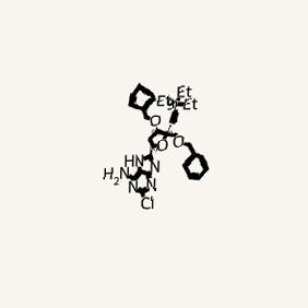 CC[Si](C#C[C@]1(COCc2ccccc2)O[C@@H](c2nc3nc(Cl)nc(N)c3[nH]2)C[C@@H]1OCc1ccccc1)(CC)CC